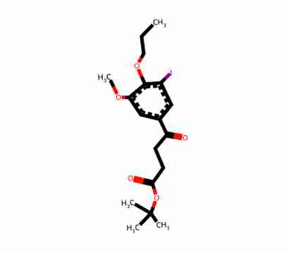 CCCOc1c(I)cc(C(=O)CCC(=O)OC(C)(C)C)cc1OC